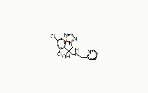 OC(CNCc1ccccn1)(Cn1cncn1)c1ccc(Cl)cc1Cl